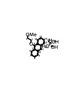 COCCOc1c2ccccc2cc2ccccc12.C[PH](O)(O)O